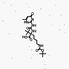 Cc1cc(=O)nc(NC(=O)N[C@](CCCCNC(=O)OC(C)(C)C)(C(=O)O)C(C)(C)C)[nH]1